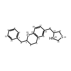 c1ccc(CC2CCc3cc(CC4CSCN4)ccc3O2)cc1